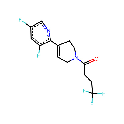 O=C(CCC(F)(F)F)N1CC=C(c2ncc(F)cc2F)CC1